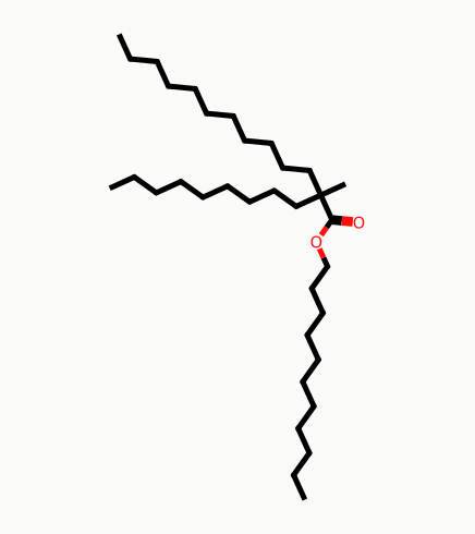 CCCCCCCCCCCOC(=O)C(C)(CCCCCCCCC)CCCCCCCCCCC